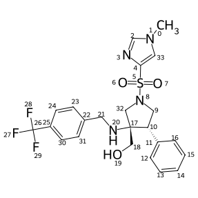 Cn1cnc(S(=O)(=O)N2C[C@H](c3ccccc3)[C@](CO)(NCc3ccc(C(F)(F)F)cc3)C2)c1